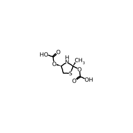 C[C@]1(OC(=O)O)N[C@H](OC(=O)O)CS1